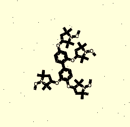 CON1C(C)(C)CC(Oc2ccc(-c3ccc(OC4CC(C)(C)N(OC)C4(C)C)c(OC4CC(C)(C)N(OC)C4(C)C)c3)c(OC3CC(C)(C)N(OC)C3(C)C)c2)C1(C)C